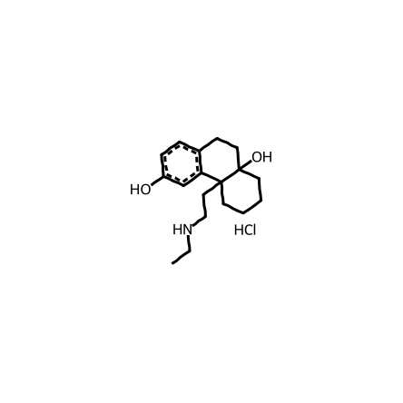 CCNCCC12CCCCC1(O)CCc1ccc(O)cc12.Cl